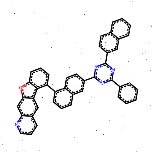 c1ccc(-c2nc(-c3ccc4ccccc4c3)nc(-c3ccc4c(-c5cccc6oc7cc8ncccc8cc7c56)cccc4c3)n2)cc1